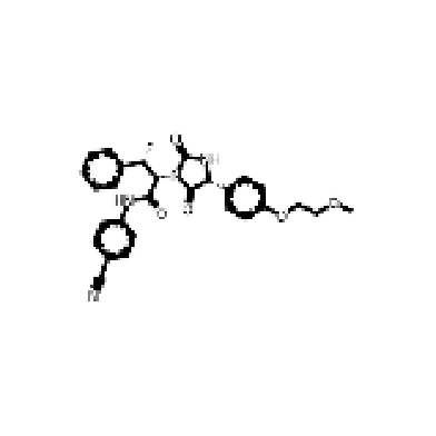 COCCOc1ccc([C@H]2NC(=O)N([C@H](C(=O)Nc3ccc(C#N)cc3)[C@@H](C)c3ccccc3)C2=O)cc1